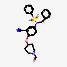 N#Cc1cc(N(Cc2ccccc2)S(=O)(=O)c2ccccc2)ccc1OC1CCN(C=O)CC1